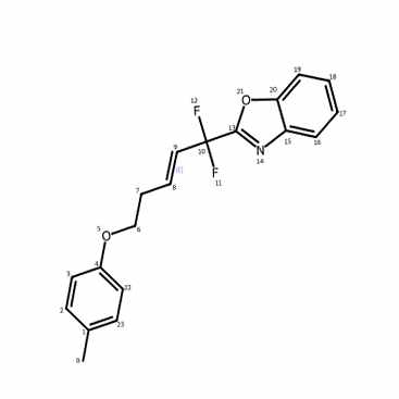 Cc1ccc(OCC/C=C/C(F)(F)c2nc3ccccc3o2)cc1